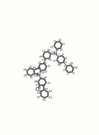 c1ccc(-c2ccc(N(c3ccccc3)c3cccc(-c4ccc5c(c4)c4ccccc4n5-c4ccc5c(c4)oc4ccccc45)c3)cc2)cc1